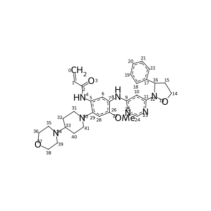 C=CC(=O)Nc1cc(Nc2cc(N3OCCC3c3ccccc3)ncn2)c(OC)cc1N1CCC(N2CCOCC2)CC1